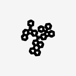 c1ccc(-c2cccc3cccc(-c4ccc(N(c5ccc6c(c5)C(c5ccccc5)(c5ccccc5)c5ccccc5-6)c5ccc6c(c5)c5c7ccccc7ccc5n6-c5ccccc5)cc4)c23)cc1